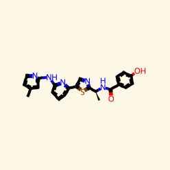 Cc1ccnc(Nc2cccc(-c3cnc([C@H](C)NC(=O)c4ccc(O)cc4)s3)n2)c1